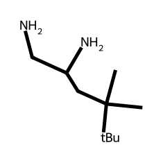 CC(C)(C)C(C)(C)CC(N)CN